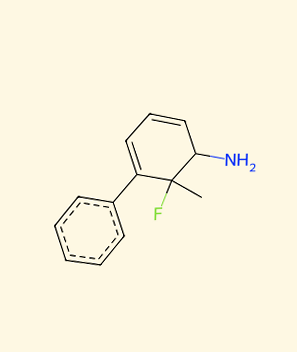 CC1(F)C(c2ccccc2)=CC=CC1N